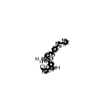 CCc1cc(-c2n[nH]c3ccc(NC(=O)[C@]4(SC)CCN(CC(=O)N5CC=C(c6ncc(-c7ccccn7)s6)CC5)C4)cc23)ccn1